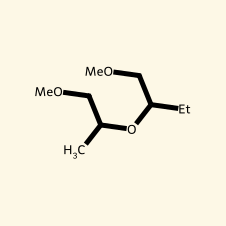 CCC(COC)OC(C)COC